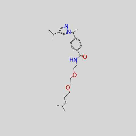 CC(C)CCCOCCOCCNC(=O)c1ccc(C(C)n2cc(C(C)C)cn2)cc1